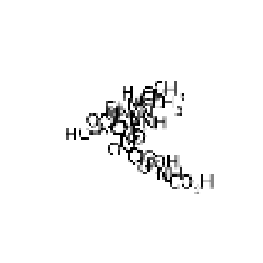 C#CCN1C(=O)COc2cc(F)c(N3C(=O)C4=C(CCCC4)C3=O)cc21.CCNc1nc(Cl)nc(NCC)n1.C[S+](C)C.O=C(O)CNCP(=O)([O-])O